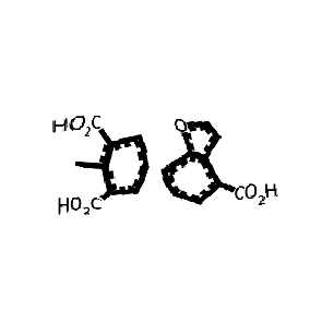 Cc1c(C(=O)O)cccc1C(=O)O.O=C(O)c1cccc2occc12